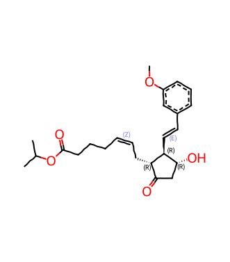 COc1cccc(/C=C/[C@H]2[C@H](O)CC(=O)[C@@H]2C/C=C\CCCC(=O)OC(C)C)c1